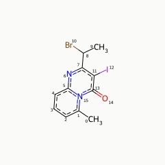 Cc1cccc2nc(C(C)Br)c(I)c(=O)n12